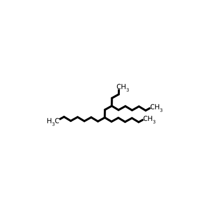 CCCCCCCC(CCCCCC)CC(CCC)CCCCCC